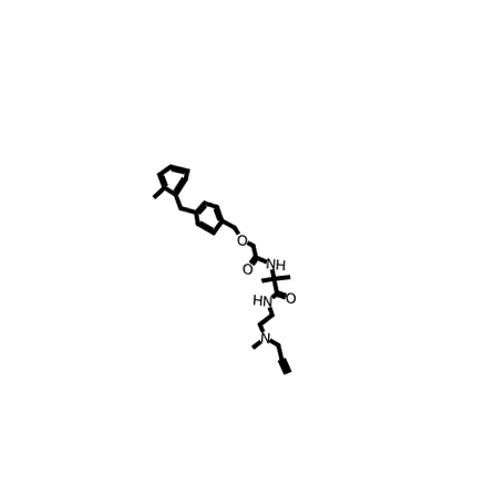 C#CCN(C)CCNC(=O)C(C)(C)NC(=O)COCc1ccc(Cc2ccccc2C)cc1